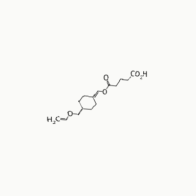 C=COCC1CCC(=COC(=O)CCCC(=O)O)CC1